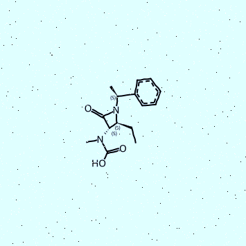 CC[C@H]1[C@H](N(C)C(=O)O)C(=O)N1[C@@H](C)c1ccccc1